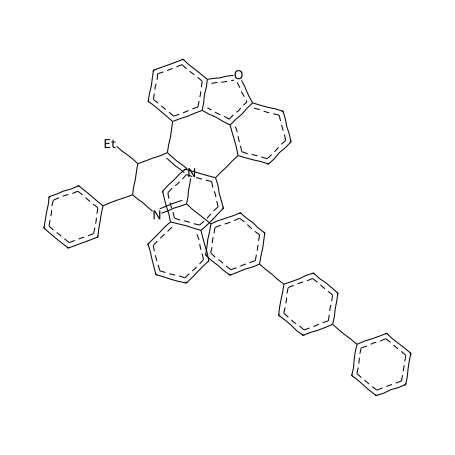 CCC1C(c2cccc3oc4cccc(-c5ccc6ccccc6c5)c4c23)=NC(c2ccc(-c3ccc(-c4ccccc4)cc3)cc2)=NC1c1ccccc1